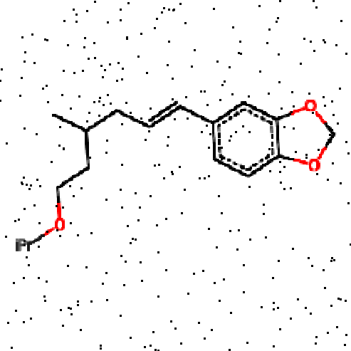 CC(C/C=C/c1ccc2c(c1)OCO2)CCOC(C)C